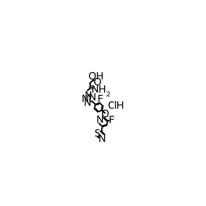 Cl.N[C@@H](CC(=O)O)Cn1nnc(-c2ccc(Oc3ncc(-c4cncs4)cc3F)cc2F)n1